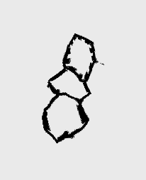 [c]1cccc2c1=CC1=CC=CC=CC13C=CC=CC=23